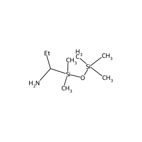 CCC(N)[Si](C)(C)O[Si](C)(C)C